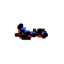 CN[C@@H](C)C(=O)N[C@H](C(=O)N1C[C@@H](NC(=O)c2ccc(NC(=O)c3ccc(C[C@H](N)C(=O)N4C[Si](C)(C)C[C@H]4C(=O)N[C@@H]4CCCc5ccccc54)cc3)cc2)C[C@H]1C(=O)N[C@@H]1CCCc2ccccc21)C(C)(C)C